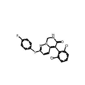 O=C1NCN2N=C(Sc3ccc(F)cc3)C=CC2=C1c1c(Cl)cccc1Cl